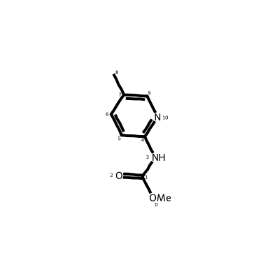 COC(=O)Nc1ccc(C)cn1